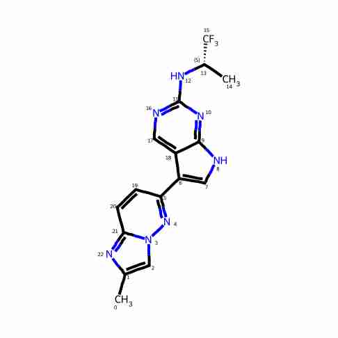 Cc1cn2nc(-c3c[nH]c4nc(N[C@@H](C)C(F)(F)F)ncc34)ccc2n1